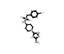 Nc1n[nH]c(N2CCC(NS(=O)(=O)Cc3ccc(F)cc3)CC2)n1